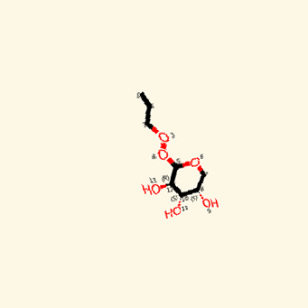 CCCOOC1OC[C@H](O)[C@H](O)[C@H]1O